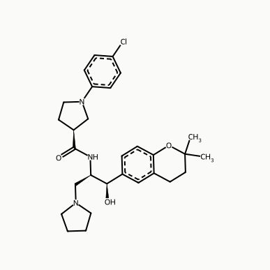 CC1(C)CCc2cc([C@@H](O)[C@@H](CN3CCCC3)NC(=O)[C@H]3CCN(c4ccc(Cl)cc4)C3)ccc2O1